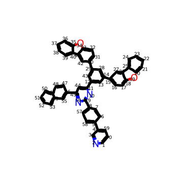 c1cncc(-c2ccc(-c3nc(-c4cc(-c5ccc6oc7ccccc7c6c5)cc(-c5ccc6oc7ccccc7c6c5)c4)cc(-c4ccc5ccccc5c4)n3)cc2)c1